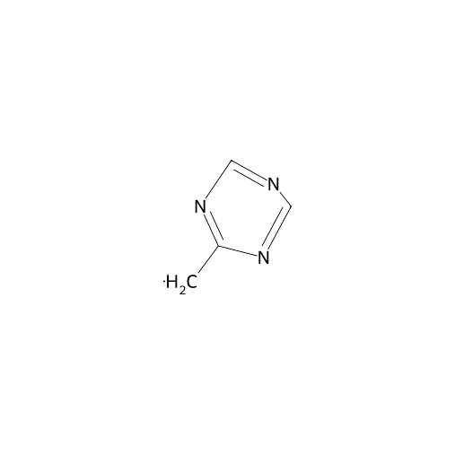 [CH2]c1ncncn1